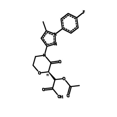 CC(=O)OC(C(=O)O)[C@H]1OCCN(c2cc(C)n(-c3ccc(F)cc3)n2)C1=O